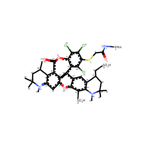 CCCCCCNC(=O)CSc1c(Cl)c(Cl)c2oc(=O)c3c4c(cc5oc6c(S(=O)(=O)O)c7c(cc6c(c2c1Cl)=c53)C(CS(=O)(=O)O)CC(C)(C)N7C)=[N+](C)C(C)(C)CC4C